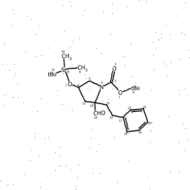 CC(C)(C)OC(=O)N1CC(O[Si](C)(C)C(C)(C)C)CC1(C=O)CCc1ccccc1